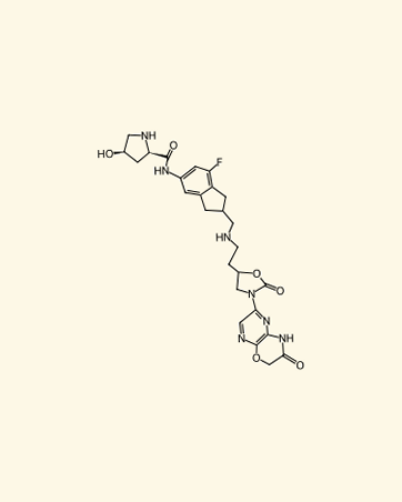 O=C1COc2ncc(N3CC(CCNCC4Cc5cc(NC(=O)[C@H]6C[C@@H](O)CN6)cc(F)c5C4)OC3=O)nc2N1